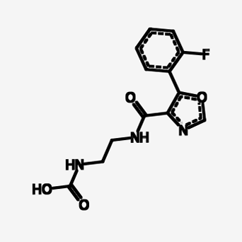 O=C(O)NCCNC(=O)c1ncoc1-c1ccccc1F